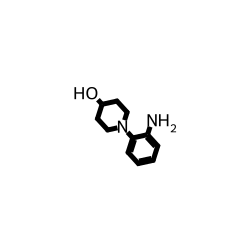 Nc1ccccc1N1CCC(O)CC1